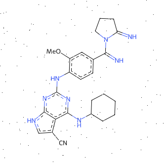 COc1cc(C(=N)N2CCCC2=N)ccc1Nc1nc(NC2CCCCC2)c2c(C#N)c[nH]c2n1